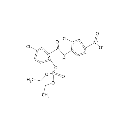 CCOP(=O)(OCC)Oc1ccc(Cl)cc1C(=O)Nc1ccc([N+](=O)[O-])cc1Cl